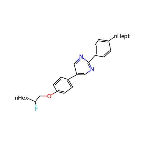 CCCCCCCc1ccc(-c2ncc(-c3ccc(OCC(F)CCCCCC)cc3)cn2)cc1